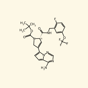 CC(C)(C)OC(=O)N1CC(c2ccc3c(N)ncnn23)=C[C@H]1C(=O)NCc1cc(OC(F)(F)F)ccc1F